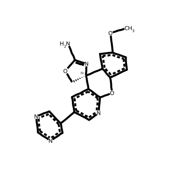 COc1ccc2c(c1)[C@@]1(COC(N)=N1)c1cc(-c3cncnc3)cnc1O2